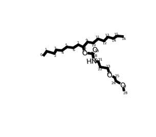 CCCCCCCCC(CCCCCCCC)OC(=O)NCCCOCCOC